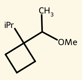 COC(C)C1(C(C)C)CCC1